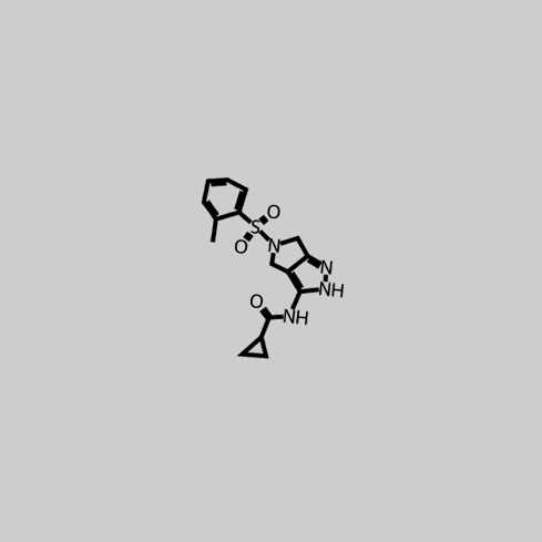 Cc1ccccc1S(=O)(=O)N1Cc2n[nH]c(NC(=O)C3CC3)c2C1